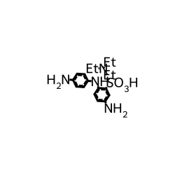 CCN(CC)CC.Nc1ccc(Nc2ccc(N)cc2S(=O)(=O)O)cc1